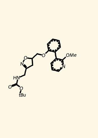 COc1ncccc1-c1ccccc1OCC1CC(CNC(=O)OC(C)(C)C)=NO1